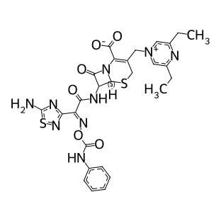 CCc1c[n+](CC2=C(C(=O)[O-])N3C(=O)C(NC(=O)C(=NOC(=O)Nc4ccccc4)c4nsc(N)n4)[C@@H]3SC2)cc(CC)n1